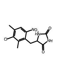 Cc1cc([N+](=O)[O-])c(CC2NC(=O)NC2=O)c(C)c1Cl